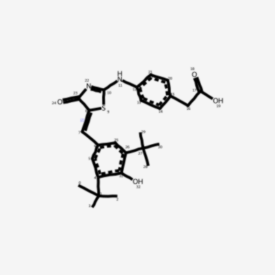 CC(C)(C)c1cc(/C=C2\SC(Nc3ccc(CC(=O)O)cc3)=NC2=O)cc(C(C)(C)C)c1O